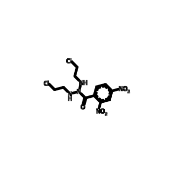 O=C(c1ccc([N+](=O)[O-])cc1[N+](=O)[O-])N(NCCCl)NCCCl